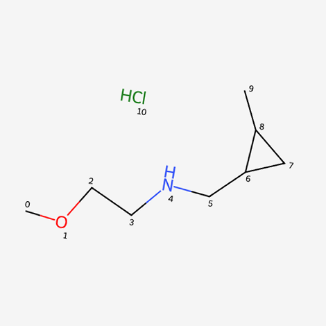 COCCNCC1CC1C.Cl